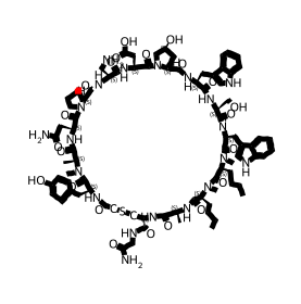 CCCC[C@H]1C(=O)N(C)[C@@H](CCCC)C(=O)N[C@@H](C)C(=O)N[C@H](C(=O)NCC(N)=O)CSCC(=O)N[C@@H](Cc2ccc(O)cc2)C(=O)N(C)[C@@H](C)C(=O)N[C@@H](CC(N)=O)C(=O)N2CCC[C@H]2C(=O)N[C@@H](CN)C(=O)N[C@@H](CC(=O)O)C(=O)N2C[C@H](O)C[C@H]2C(=O)N[C@@H](Cc2c[nH]c3ccccc23)C(=O)N[C@@H](CO)C(=O)N[C@@H](Cc2c[nH]c3ccccc23)C(=O)N1C